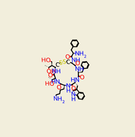 C[C@@H](O)[C@@H](CO)[C@@H]1CSSC[C@H](NC(=O)[C@H](N)Cc2ccccc2)C(=O)N[C@@H](Cc2ccccc2)C(=O)N[C@H](Cc2c[nH]c3ccccc23)C(=O)N[C@@H](CCCCN)C(=O)N[C@@H]([C@@H](C)O)C(=O)N1